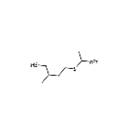 CCCC(C)SCCC(C)CS